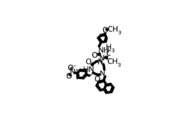 COc1ccc(CNC(=O)N(C(C)C)N2CCN(Cc3cccc4ccccc34)C(=O)[C@H](Cc3ccc([N+](=O)[O-])cc3)NC(=O)C2)cc1